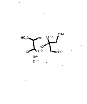 O=C([O-])C(O)C(O)C(=O)O.O=C([O-])CC(O)(CC(=O)[O-])C(=O)[O-].[Zn+2].[Zn+2]